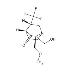 COC[C@@]1(CO)C(=O)[C@@H]2CCN1C[C@H]2C(F)(F)F